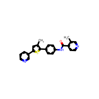 Cc1cnccc1C(=O)Nc1ccc(-c2sc(-c3cccnc3)cc2C)cc1